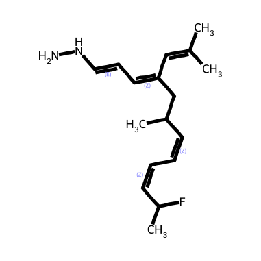 CC(C)=C/C(=C\C=C\NN)CC(C)/C=C\C=C/C(C)F